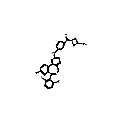 CNC1CN(C(=O)c2ccc(Nc3cc4c(cn3)CN=C(c3c(F)cccc3F)c3cc(Cl)ccc3-4)cc2)C1